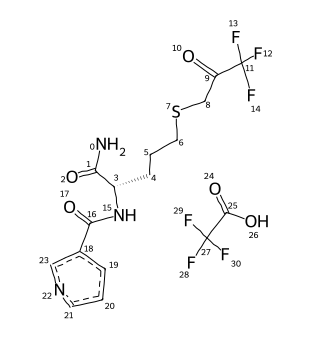 NC(=O)[C@H](CCCSCC(=O)C(F)(F)F)NC(=O)c1cccnc1.O=C(O)C(F)(F)F